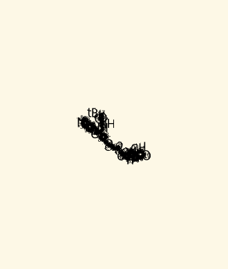 C[C@@H]1C[C@H]2[C@@H]3CCC4=CC(=O)C=C[C@]4(C)[C@@]3(F)[C@@H](O)C[C@]2(C)[C@@]1(O)C(=O)COC(=O)CCC(=O)OCc1ccc(C(CCNC(=O)OC(C)(C)C)C(=O)Nc2ccc3cnccc3c2)cc1